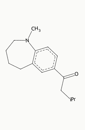 CC(C)CC(=O)c1ccc2c(c1)CCCCN2C